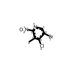 Cc1c([N+](=O)[O-])ncc(Br)c1Cl